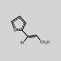 CCC(=CC(=O)O)c1ccco1